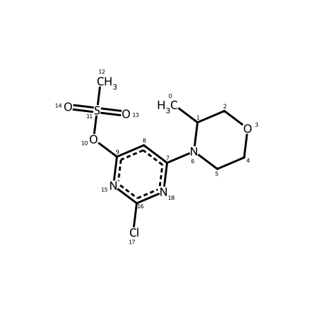 CC1COCCN1c1cc(OS(C)(=O)=O)nc(Cl)n1